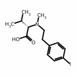 CC(C)[C@@H](C(=O)O)N(C)CCc1ccc(I)cc1